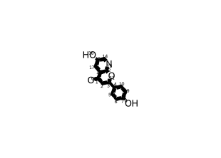 O=c1cc(-c2ccc(O)cc2)oc2ncc(O)cc12